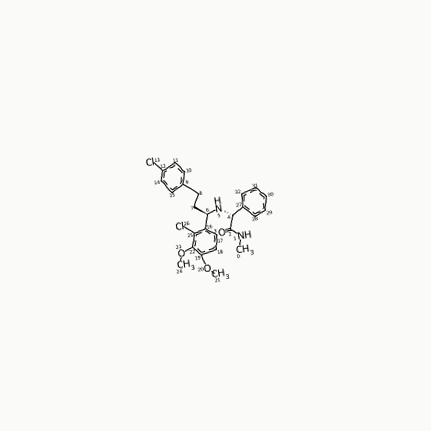 CNC(=O)[C@H](N[C@H](CCc1ccc(Cl)cc1)c1ccc(OC)c(OC)c1Cl)c1ccccc1